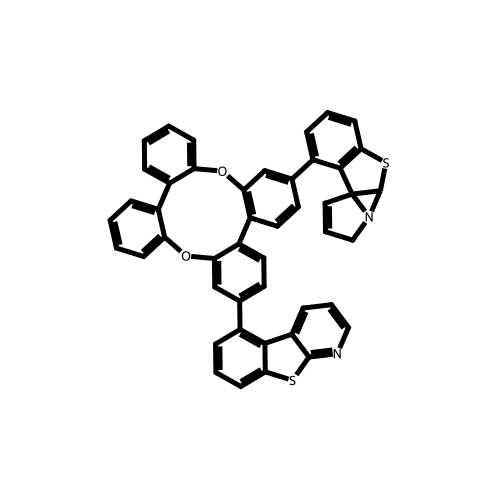 C1=CC23c4c(cccc4-c4ccc5c(c4)Oc4ccccc4-c4ccccc4Oc4cc(-c6cccc7sc8ncccc8c67)ccc4-5)SC2N3C1